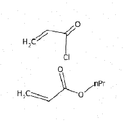 C=CC(=O)Cl.C=CC(=O)OCCC